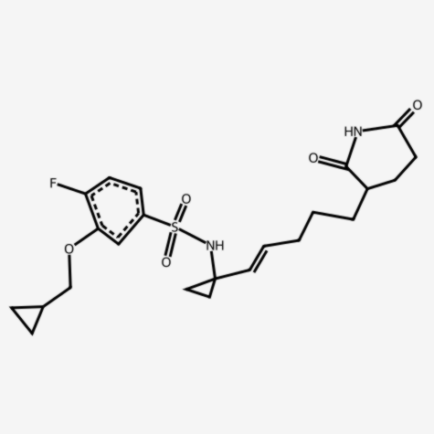 O=C1CCC(CCCC=CC2(NS(=O)(=O)c3ccc(F)c(OCC4CC4)c3)CC2)C(=O)N1